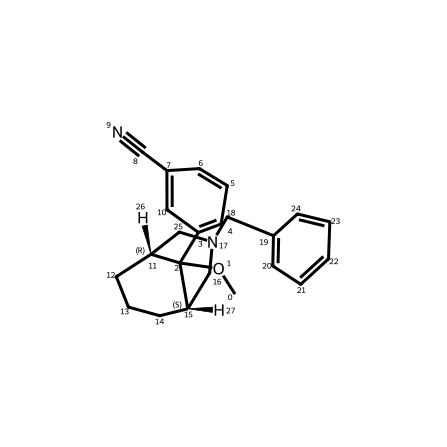 COC1(c2cccc(C#N)c2)[C@@H]2CCC[C@H]1CN(Cc1ccccc1)C2